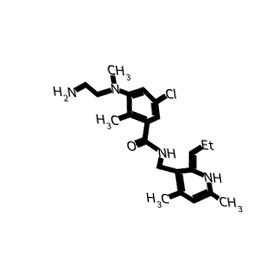 CC/C=C1\NC(C)=CC(C)=C1CNC(=O)c1cc(Cl)cc(N(C)CCN)c1C